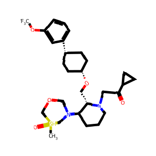 C[SH]1(=O)COCN(C2CCCN(CC(=O)C3CC3)[C@H]2CO[C@H]2CC[C@@H](c3cccc(OC(F)(F)F)c3)CC2)C1